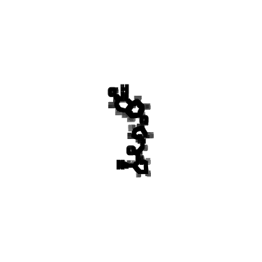 N#CC1CCCN1C(=O)CN1CC[C@H](Oc2ccc3c(c2)CCC(=O)N3)C1